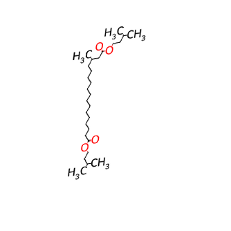 CC(C)CCOC(=O)CCCCCCCCCCCCCC(C)CC(=O)OCCC(C)C